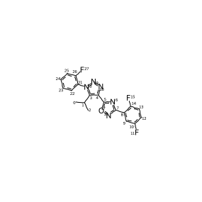 CC(C)c1c(-c2nc(-c3cc(F)ccc3F)no2)nnn1-c1ccccc1F